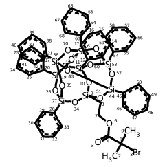 CC(C)(Br)C(=O)OCC[Si]12O[Si]3(c4ccccc4)O[Si]4(c5ccccc5)O[Si](c5ccccc5)(O1)O[Si]1(c5ccccc5)O[Si](c5ccccc5)(O2)O[Si](c2ccccc2)(O3)O[Si](c2ccccc2)(O4)O1